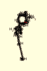 N=C(N)NCCC[C@@H]1NC(=O)[C@@H](Cc2ccccc2)NC(=O)[C@@H]2C[C@@H](O)CN2C(=O)[C@@H](NC(=O)[C@@H](CCCN)NC(=O)CNC(=O)[C@H](Cc2c[nH]cn2)NC(=O)[C@H](CCC(N)=O)NC(=O)[C@H](CO)NC(=O)CNC(=O)COCCOCCNC(=O)CCCCCCCCCCCCCCCc2nnn[nH]2)CCC(=O)NCCCC[C@@H](C(N)=O)NC(=O)[C@H](Cc2c[nH]c3ccccc23)NC1=O